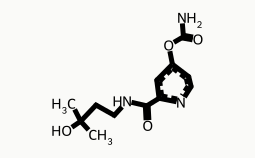 CC(C)(O)CCNC(=O)c1cc(OC(N)=O)ccn1